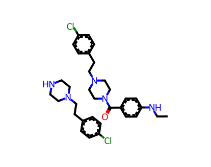 CCNc1ccc(C(=O)N2CCN(CCc3ccc(Cl)cc3)CC2)cc1.Clc1ccc(CCN2CCNCC2)cc1